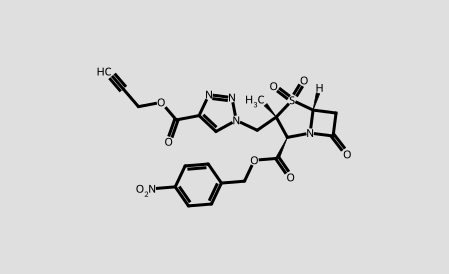 C#CCOC(=O)c1cn(C[C@@]2(C)[C@H](C(=O)OCc3ccc([N+](=O)[O-])cc3)N3C(=O)C[C@H]3S2(=O)=O)nn1